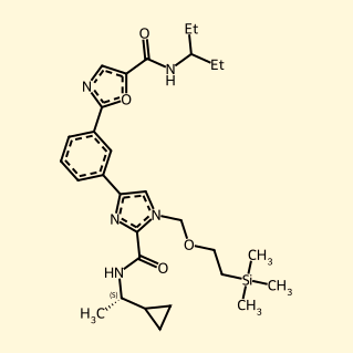 CCC(CC)NC(=O)c1cnc(-c2cccc(-c3cn(COCC[Si](C)(C)C)c(C(=O)N[C@@H](C)C4CC4)n3)c2)o1